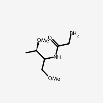 BCC(=O)NC(COC)[C@@H](C)OC